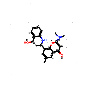 Cc1cc(C(C)Nc2ccccc2CO)c2oc(N(C)C)cc(=O)c2c1